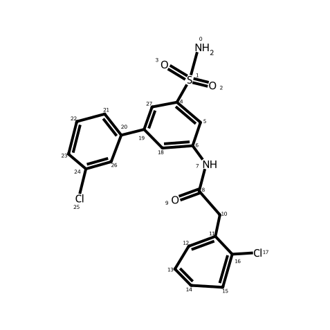 NS(=O)(=O)c1cc(NC(=O)Cc2ccccc2Cl)cc(-c2cccc(Cl)c2)c1